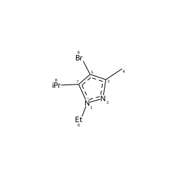 CCn1nc(C)c(Br)c1C(C)C